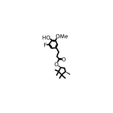 COc1cc(CCC(=O)O[C@H]2C[C@@H](C)C(C)(C)C2(C)C)cc(F)c1O